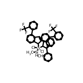 C[SiH](C)[Zr]([Cl])([Cl])([CH]1C(c2ccccc2)=Cc2c(-c3ccccc3C(F)(F)F)cccc21)[CH]1C(c2ccccc2)=Cc2c(-c3ccccc3C(F)(F)F)cccc21